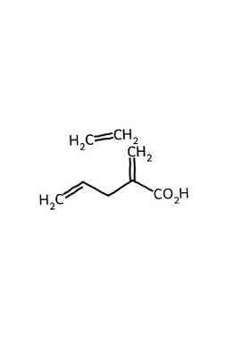 C=C.C=CCC(=C)C(=O)O